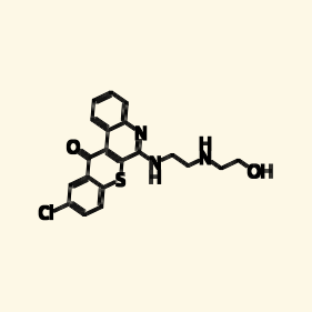 O=c1c2cc(Cl)ccc2sc2c(NCCNCCO)nc3ccccc3c12